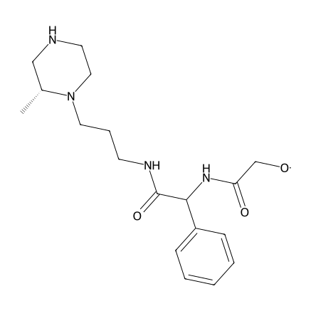 C[C@@H]1CNCCN1CCCNC(=O)C(NC(=O)C[O])c1ccccc1